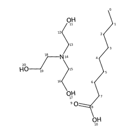 CCCCCCCCC(=O)O.OCCN(CCO)CCO